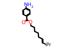 CC(C)C=CCCCCCOC(=O)c1ccc(N)cc1